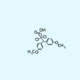 COc1ccc(C(c2ccc(OC)cc2)C(Cl)(Cl)Cl)cc1.O=CO